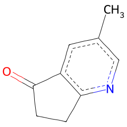 Cc1cnc2c(c1)C(=O)CC2